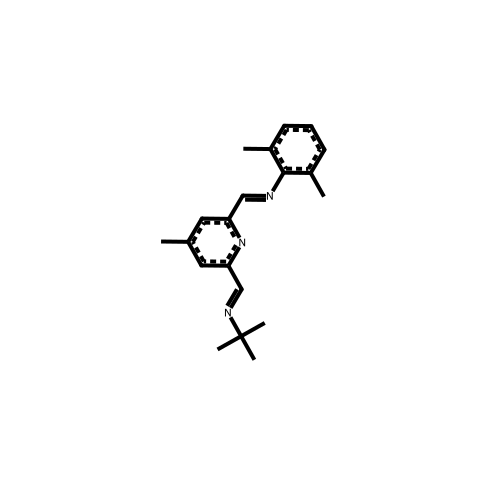 Cc1cc(C=Nc2c(C)cccc2C)nc(C=NC(C)(C)C)c1